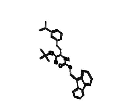 CC(C)c1cccc(CCC(NC(=O)OCC2c3ccccc3-c3ccccc32)C(=O)OC(C)(C)C)c1